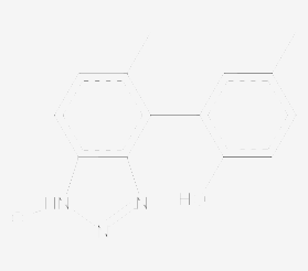 Cc1ccc(O)c(-c2c(C)ccc3c2N=N[NH+]3[O-])c1